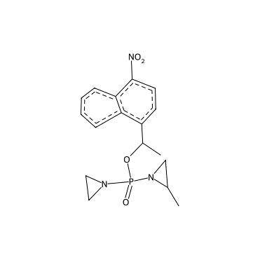 CC(OP(=O)(N1CC1)N1CC1C)c1ccc([N+](=O)[O-])c2ccccc12